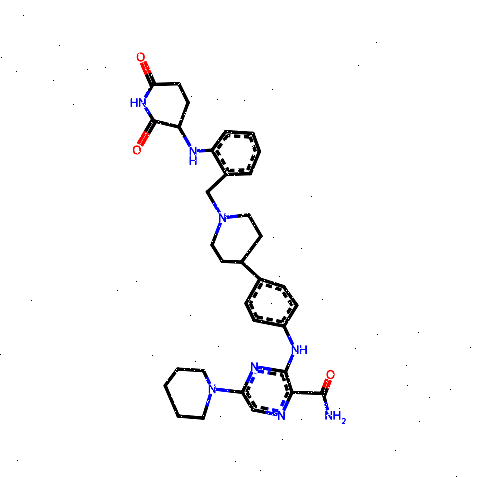 NC(=O)c1ncc(N2CCCCC2)nc1Nc1ccc(C2CCN(Cc3ccccc3NC3CCC(=O)NC3=O)CC2)cc1